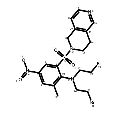 Cc1cc([N+](=O)[O-])cc(S(=O)(=O)N2CCc3cnccc3C2)c1N(CCBr)CCBr